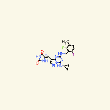 Cc1ccc(I)c(CNc2nc(NC3CC3)n3ncc(/C=C4\NC(=O)NC4=O)c3n2)c1F